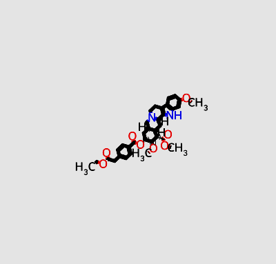 CCOC(=O)Cc1ccc(C(=O)O[C@@H]2C[C@@H]3CN4CCc5c([nH]c6cc(OC)ccc56)[C@H]4C[C@@H]3[C@H](C(=O)OC)[C@H]2OC)cc1